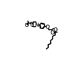 CCCCCCCCC1(C)OCC(COc2ccc(N3CCN(C(C)=O)CC3)cc2)O1